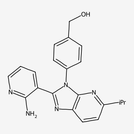 CC(C)c1ccc2nc(-c3cccnc3N)n(-c3ccc(CO)cc3)c2n1